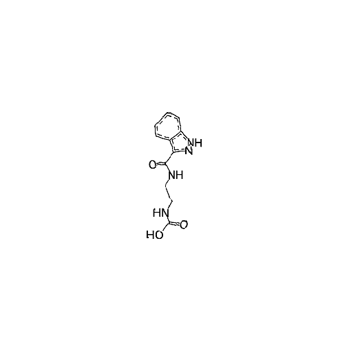 O=C(O)NCCNC(=O)c1n[nH]c2ccccc12